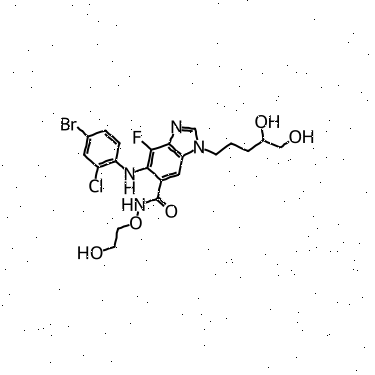 O=C(NOCCO)c1cc2c(ncn2CCCC(O)CO)c(F)c1Nc1ccc(Br)cc1Cl